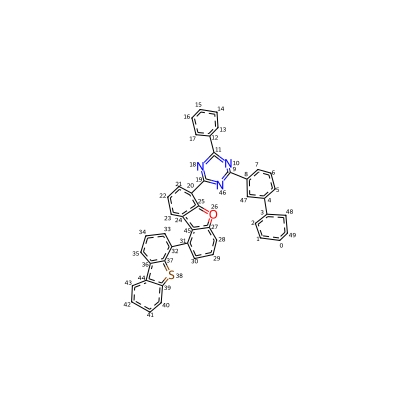 c1ccc(-c2cccc(-c3nc(-c4ccccc4)nc(-c4cccc5c4oc4cccc(-c6cccc7c6sc6ccccc67)c45)n3)c2)cc1